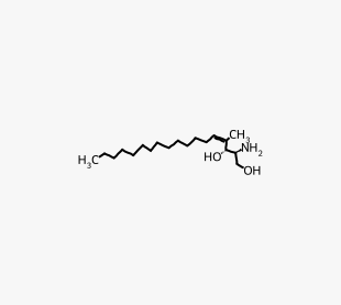 CCCCCCCCCCCCCC=C(C)[C@@H](O)[C@@H](N)CO